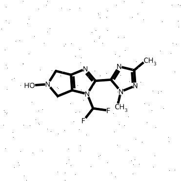 Cc1nc(-c2nc3c(n2C(F)F)CN(O)C3)n(C)n1